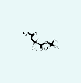 C[C@H](CC(N)=O)NC(=O)OC(C)(C)C